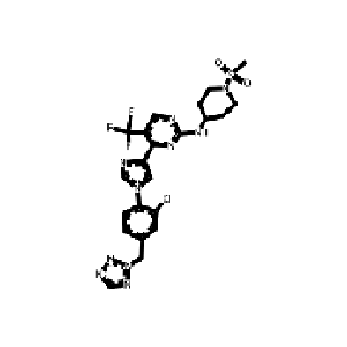 CS(=O)(=O)N1CCC(Nc2ncc(C(F)(F)F)c(-c3cn(-c4ccc(Cn5ncnn5)cc4Cl)cn3)n2)CC1